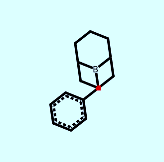 c1ccc(CB2C3CCCC2CCC3)cc1